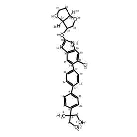 CC(CO)(CO)c1ccc(-c2ccc(-c3cc4nc(OC5CO[C@@H]6CCO[C@H]56)[nH]c4cc3Cl)cc2)cc1